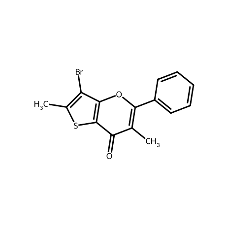 Cc1sc2c(=O)c(C)c(-c3ccccc3)oc2c1Br